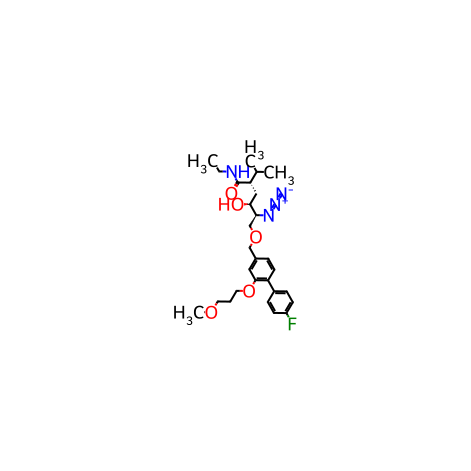 CCNC(=O)[C@@H](C[C@H](O)[C@H](COCc1ccc(-c2ccc(F)cc2)c(OCCCOC)c1)N=[N+]=[N-])C(C)C